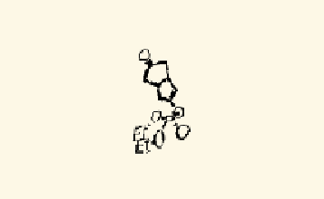 CCOP(=O)(OCC)OC1=CC2CC(=O)CC2C1